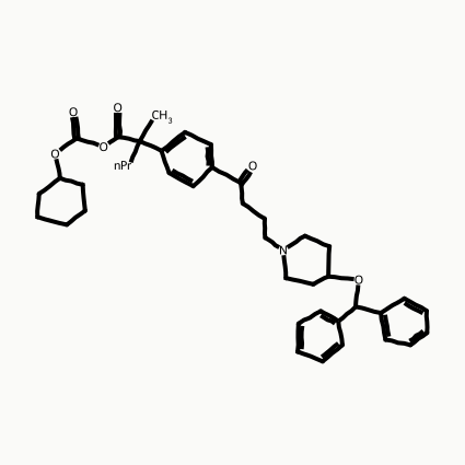 CCCC(C)(C(=O)OC(=O)OC1CCCCC1)c1ccc(C(=O)CCCN2CCC(OC(c3ccccc3)c3ccccc3)CC2)cc1